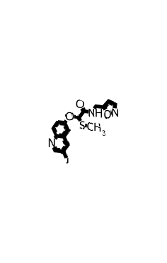 CSC(Oc1ccc2ncc(I)cc2c1)C(=O)NCc1ccno1